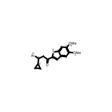 COc1cc2cc(C(=O)CC(C(C)=O)C3CC3)sc2cc1OC